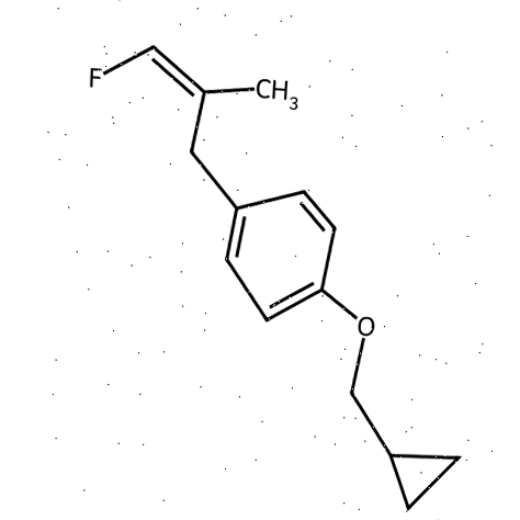 C/C(=C/F)Cc1ccc(OCC2CC2)cc1